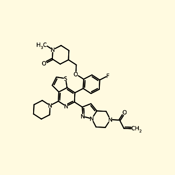 C=CC(=O)N1CCn2nc(-c3nc(N4CCCCC4)c4ccsc4c3-c3ccc(F)cc3OCC3CCN(C)C(=O)C3)cc2C1